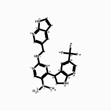 CN(C)c1cnc(NCc2cnc3[nH]ccc3c2)nc1C1CNc2ncc(C(F)(F)F)cc21